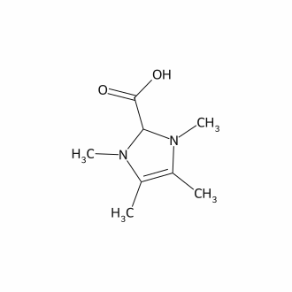 CC1=C(C)N(C)C(C(=O)O)N1C